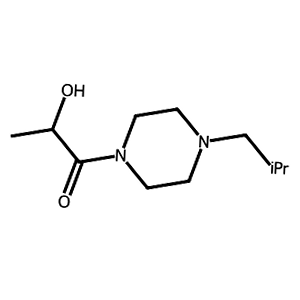 CC(C)CN1CCN(C(=O)C(C)O)CC1